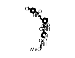 COCCNC(=O)Oc1ccc(C(=O)NS(=O)(=O)c2cccc(CCNC(=O)c3ccc(Cl)cc3)c2)cn1